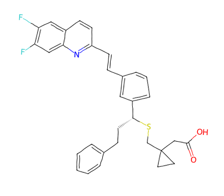 O=C(O)CC1(CS[C@H](CCc2ccccc2)c2cccc(C=Cc3ccc4cc(F)c(F)cc4n3)c2)CC1